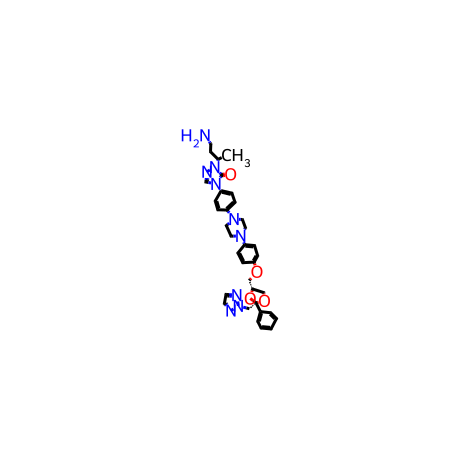 CC(CCN)n1ncn(-c2ccc(N3CCN(c4ccc(OC[C@@H]5CO[C@@](Cn6nccn6)(c6ccccc6)O5)cc4)CC3)cc2)c1=O